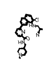 C=C(C#N)CNc1c(Cl)ccc2ccc(-c3cccc(C(=O)NCC4CCN(C)CC4)n3)cc12